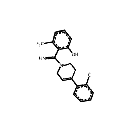 N=C(c1c(O)cccc1C(F)(F)F)N1CC=C(c2ccccc2Cl)CC1